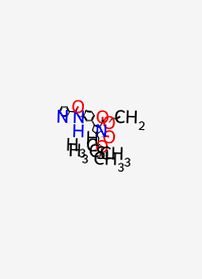 C=CCOC(=O)C1=C(c2cccc(NC(=O)c3cccnc3)c2)C[C@@H]2[C@@H]([C@@H](C)O[Si](C)(C)C)C(=O)N12